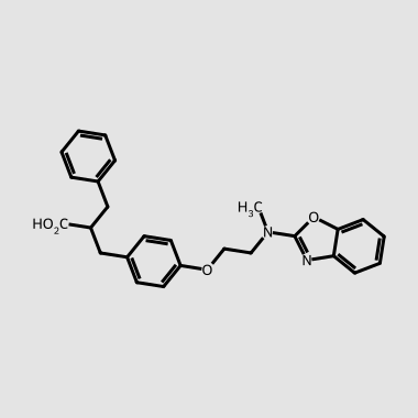 CN(CCOc1ccc(CC(Cc2ccccc2)C(=O)O)cc1)c1nc2ccccc2o1